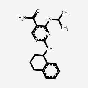 CC(C)Nc1nc(NC2CCCc3ccccc32)ncc1C(N)=O